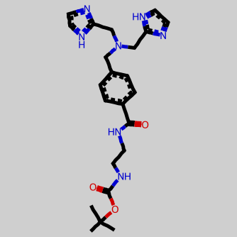 CC(C)(C)OC(=O)NCCNC(=O)c1ccc(CN(Cc2ncc[nH]2)Cc2ncc[nH]2)cc1